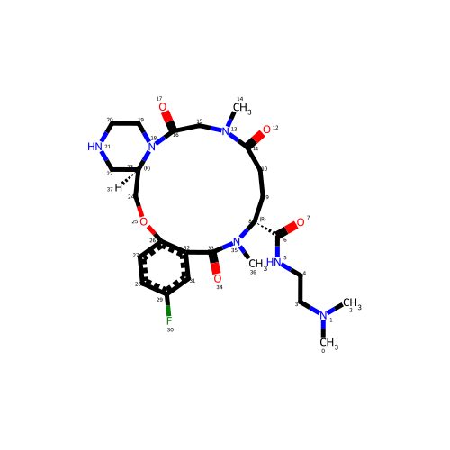 CN(C)CCNC(=O)[C@H]1CCC(=O)N(C)CC(=O)N2CCNC[C@@H]2COc2ccc(F)cc2C(=O)N1C